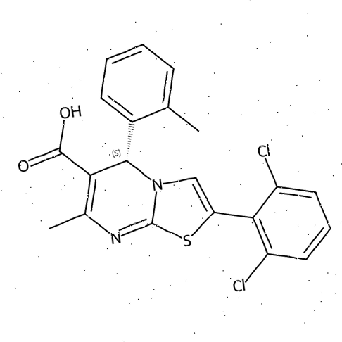 CC1=C(C(=O)O)[C@H](c2ccccc2C)N2C=C(c3c(Cl)cccc3Cl)SC2=N1